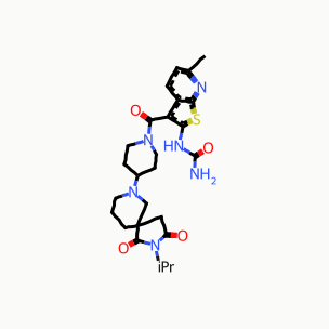 Cc1ccc2c(C(=O)N3CCC(N4CCCC5(CC(=O)N(C(C)C)C5=O)C4)CC3)c(NC(N)=O)sc2n1